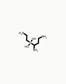 NCCC(N)[Si](O)(O)CCN